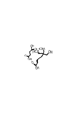 O=C(O)C=CCC(CO)(CO)CO.O=C(O)CCC(=O)O